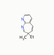 CCC1(C)C=Cc2cccnc2N=C1